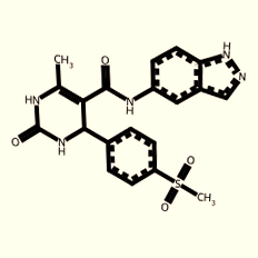 CC1=C(C(=O)Nc2ccc3[nH]ncc3c2)C(c2ccc(S(C)(=O)=O)cc2)NC(=O)N1